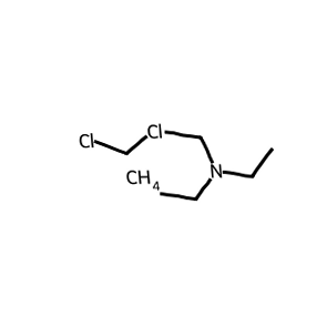 C.CCN(CC)CC.ClCCl